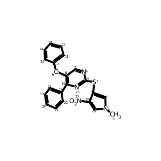 Cn1cc(Sc2ncc(Oc3ccccc3)c(-c3ccccc3)n2)c([N+](=O)[O-])c1